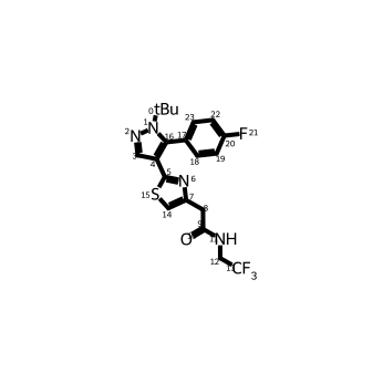 CC(C)(C)n1ncc(-c2nc(CC(=O)NCC(F)(F)F)cs2)c1-c1ccc(F)cc1